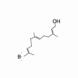 CC(C)=CCCC(C)=CCCC(C)=CCO.[B]